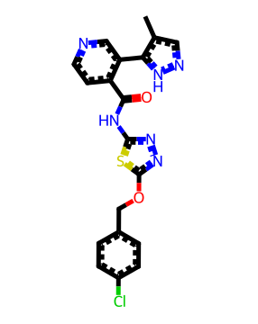 Cc1cn[nH]c1-c1cnccc1C(=O)Nc1nnc(OCc2ccc(Cl)cc2)s1